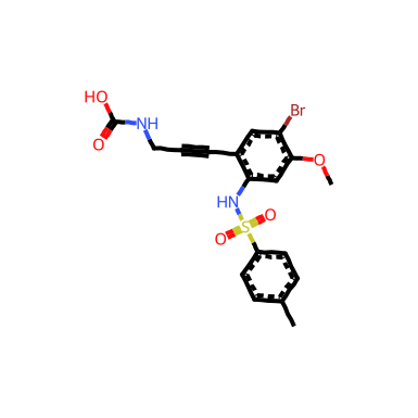 COc1cc(NS(=O)(=O)c2ccc(C)cc2)c(C#CCNC(=O)O)cc1Br